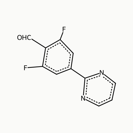 O=Cc1c(F)cc(-c2ncccn2)cc1F